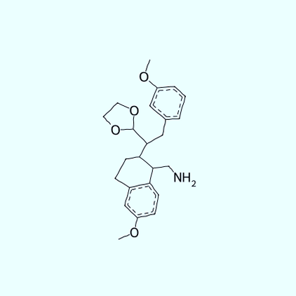 COc1cccc(CC(C2OCCO2)C2CCc3cc(OC)ccc3C2CN)c1